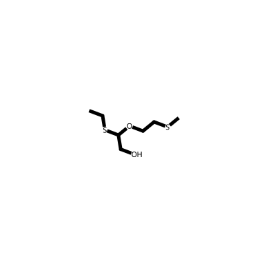 CCSC(CO)OCCSC